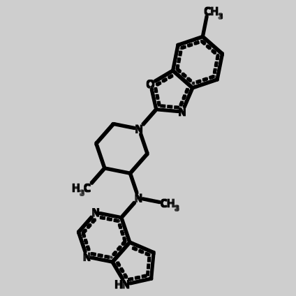 Cc1ccc2nc(N3CCC(C)C(N(C)c4ncnc5[nH]ccc45)C3)oc2c1